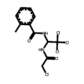 Cc1ccccc1C(=O)NC(NC(=O)CCl)C(Cl)(Cl)Cl